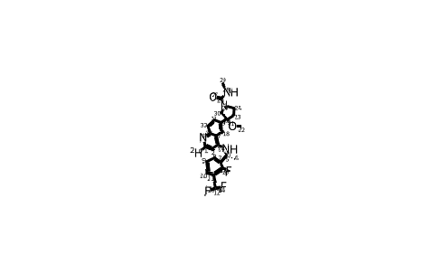 [2H]c1cc(N[C@H](C)c2cccc(C(F)F)c2F)c2cc([C@@]3(OC)CCN(C(=O)NC)C3)ccc2n1